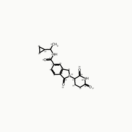 CC(NC(=O)c1ccc2c(c1)CN(C1CCC(=O)NC1=O)C2=O)C1CC1